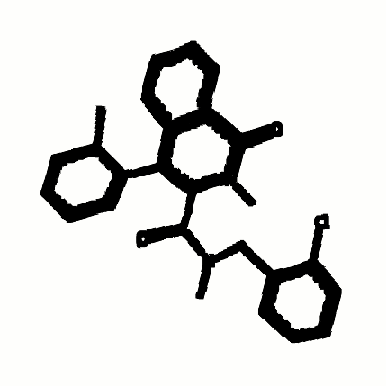 Cc1ccccc1-c1c(C(=O)N(C)Cc2ccccc2Cl)n(C)c(=O)c2ccccc12